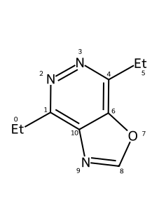 CCc1nnc(CC)c2ocnc12